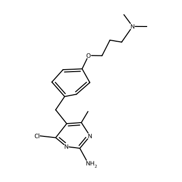 Cc1nc(N)nc(Cl)c1Cc1ccc(OCCCN(C)C)cc1